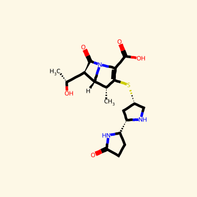 C[C@@H](O)[C@H]1C(=O)N2C(C(=O)O)=C(S[C@@H]3CN[C@H](C4CCC(=O)N4)C3)[C@H](C)[C@H]12